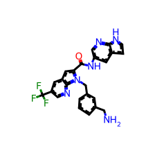 NCc1cccc(Cn2c(C(=O)Nc3cnc4[nH]ccc4c3)cc3cc(C(F)(F)F)cnc32)c1